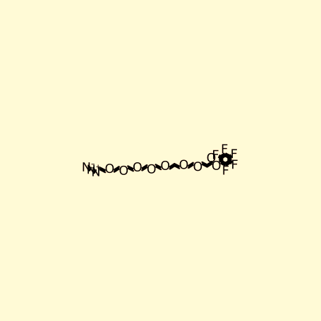 [N-]=[N+]=NCCOCCOCCOCCOCCOCCCOCCOCCC(=O)Oc1c(F)c(F)c(F)c(F)c1F